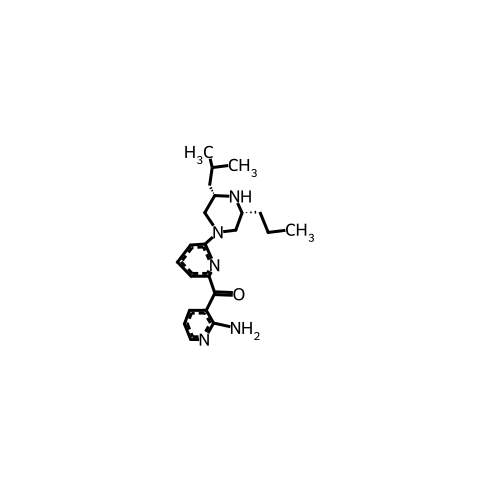 CCC[C@@H]1CN(c2cccc(C(=O)c3cccnc3N)n2)C[C@H](CC(C)C)N1